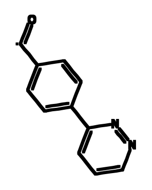 O=[C]c1ccc(-c2cccnn2)cc1